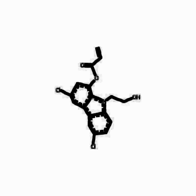 C=CC(=O)Oc1cc(Cl)cc2c3cc(Cl)ccc3n(CCO)c12